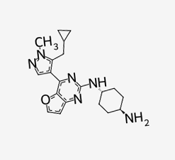 Cn1ncc(-c2nc(N[C@H]3CC[C@H](N)CC3)nc3ccoc23)c1CC1CC1